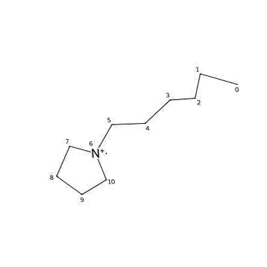 CCCCCC[N+]1CCCC1